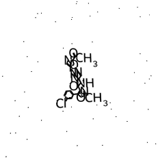 CC(=O)c1ncc(Cn2ncc(NC(=O)c3nc(C)oc3-c3cccc(Cl)c3)n2)o1